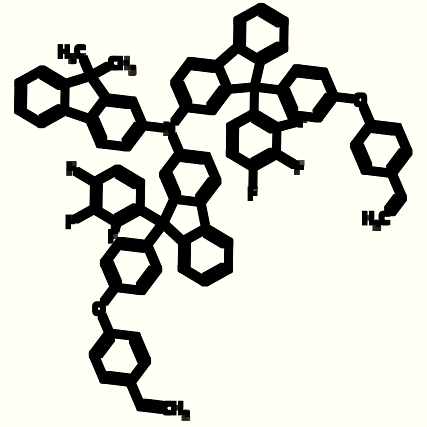 C=Cc1ccc(Oc2ccc(C3(c4ccc(F)c(F)c4F)c4ccccc4-c4ccc(N(c5ccc6c(c5)C(C)(C)c5ccccc5-6)c5ccc6c(c5)C(c5ccc(Oc7ccc(C=C)cc7)cc5)(c5ccc(F)c(F)c5F)c5ccccc5-6)cc43)cc2)cc1